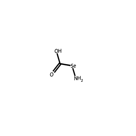 N[Se]C(=O)O